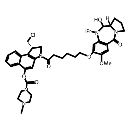 COc1cc2c(cc1OCCCCCC(=O)N1C[C@@H](CCl)c3c1cc(OC(=O)N1CCN(C)CC1)c1ccccc31)N(C(C)C)C(O)[C@@H]1CCCN1C2=O